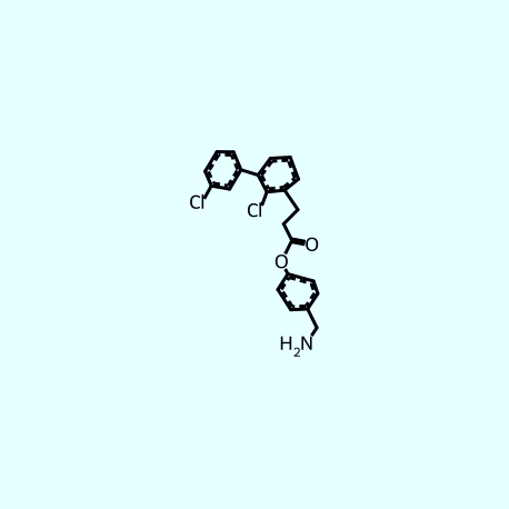 NCc1ccc(OC(=O)CCc2cccc(-c3cccc(Cl)c3)c2Cl)cc1